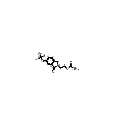 NC(=O)OCCN1Cc2ccc(OC(F)(F)F)cc2C1=O